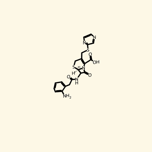 Nc1ccccc1CC(=O)NC1C(=O)N2C(C(=O)O)=C(CSc3cnccn3)CS[C@H]12